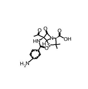 CC(=O)[C@]1(NC(=O)c2ccc(N)cc2)C(=O)N2[C@@H](C(=O)O)C(C)(C)S[C@@H]21